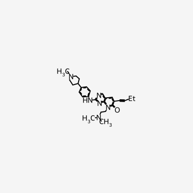 CCC#Cc1cc2cnc(Nc3ccc(C4CCN(C)CC4)cc3)nc2n(CCN(C)C)c1=O